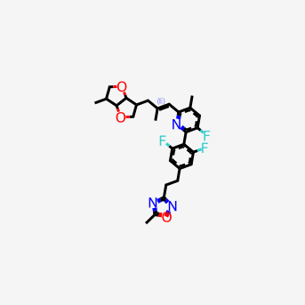 C/C(=C\c1nc(-c2c(F)cc(CCc3noc(C)n3)cc2F)c(F)cc1C)CC1COC2C(C)COC12